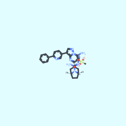 CS(=O)(=O)c1c([C@@H]2C[C@H]3CC[C@@H](C2)N3/C(N)=N/C#N)nc2c(-c3ccc(-c4ccccc4)nc3)cnn2c1N